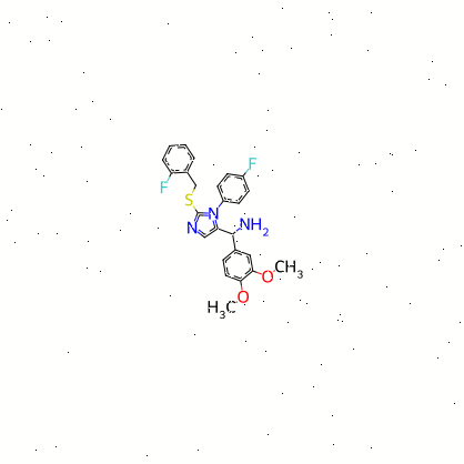 COc1ccc(C(N)c2cnc(SCc3ccccc3F)n2-c2ccc(F)cc2)cc1OC